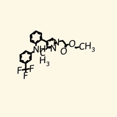 CCOC(=O)Cn1cc(-c2ccccc2Nc2cccc(C(F)(F)F)c2)c(C)n1